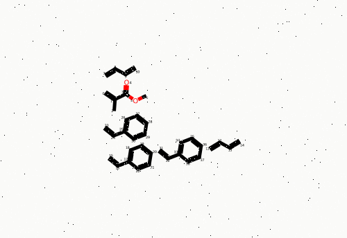 C=C(C)C(=O)OC.C=CC=C.C=CC=C.C=Cc1ccccc1.C=Cc1ccccc1.C=Cc1ccccc1